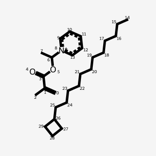 C=C(C)C(=O)OC(C)[n+]1ccccc1.CCCCCCCCCCCCC1CCC1